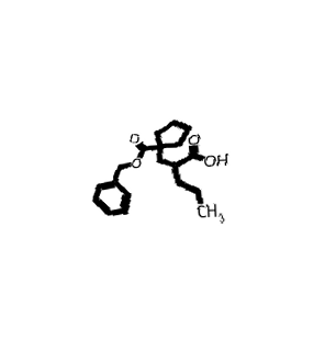 CCCC(CC1(C(=O)OCc2ccccc2)CCCC1)C(=O)O